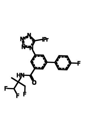 CC(C)c1nnnn1-c1cc(C(=O)NC(C)(CF)C(F)F)cc(-c2ccc(F)cc2)c1